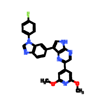 COc1cc(-c2cnc3[nH]cc(-c4ccc5ncn(-c6ccc(F)cc6)c5c4)c3n2)cc(OC)n1